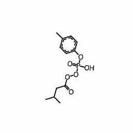 Cc1ccc(OP(=O)(O)OOC(=O)CC(C)C)cc1